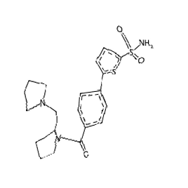 NS(=O)(=O)c1ccc(-c2ccc(C(=O)N3CCCC3CN3CCCC3)cc2)s1